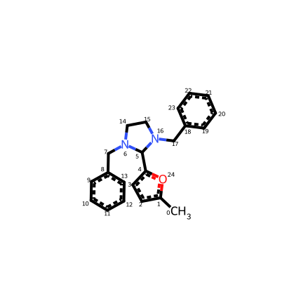 Cc1ccc(C2N(Cc3ccccc3)CCN2Cc2ccccc2)o1